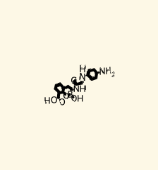 N[C@H]1CC[C@H](NCC(=O)N[C@H]2Cc3cccc(C(=O)O)c3OB2O)CC1